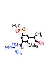 COc1c(C(=O)NC(=N)N)cc(S(C)(=O)=O)cc1C(C)CO